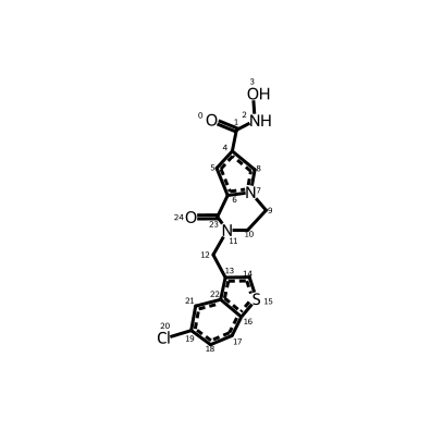 O=C(NO)c1cc2n(c1)CCN(Cc1csc3ccc(Cl)cc13)C2=O